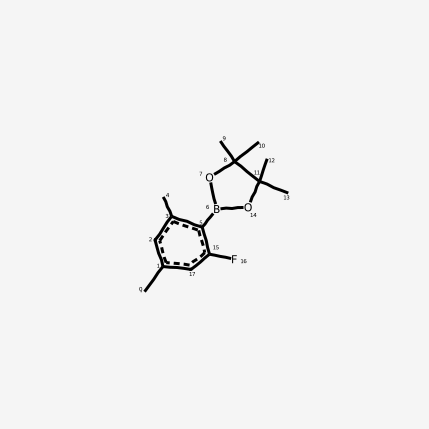 [CH2]c1cc(C)c(B2OC(C)(C)C(C)(C)O2)c(F)c1